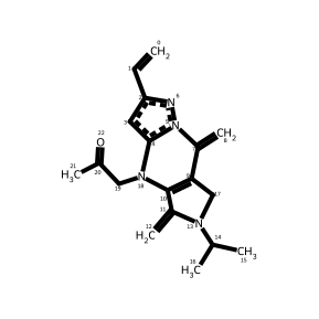 C=Cc1cc2n(n1)C(=C)C1=C(C(=C)N(C(C)C)C1)N2CC(C)=O